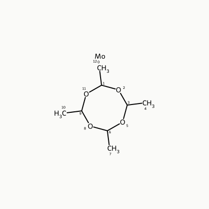 CC1OC(C)OC(C)OC(C)O1.[Mo]